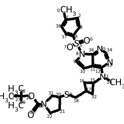 Cc1ccc(S(=O)(=O)n2ccc3c(N(C)C4CC(CSC5CCN(C(=O)OC(C)(C)C)C5)C4)ncnc32)cc1